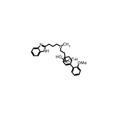 COc1ccccc1C1=CC2CC[C@@H]1C[C@@]2(O)CCN(C)CCCc1nc2ccccc2[nH]1